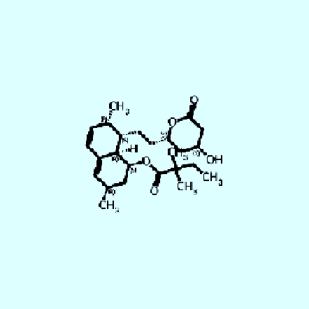 CCC(C)(C)C(=O)O[C@H]1C[C@@H](C)C=C2C=C[C@H](C)[C@H](CC[C@H]3C[C@H](O)CC(=O)O3)[C@H]21